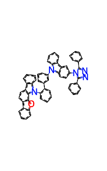 c1ccc(-c2nnc(-c3ccccc3)n2-c2ccc3c(c2)c2ccccc2n3-c2cccc(-c3ccccc3-n3c4ccccc4c4ccc5c6ccccc6oc5c43)c2)cc1